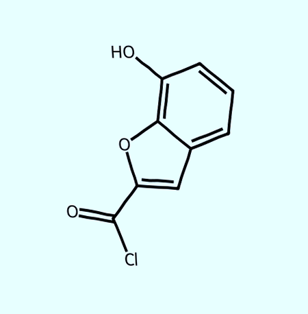 O=C(Cl)c1cc2cccc(O)c2o1